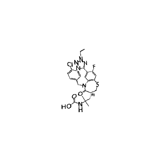 CCn1nnc(-c2cc3c(cc2F)SC[C@H](CC(C)(C)NC(=O)O)C(=O)N3Cc2ccc(Cl)cc2)n1